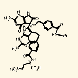 CCCNC(=O)c1ccc(CC[C@@]2(c3[nH]c4[nH]c(N)nc(=O)c4c3CCc3ccc(C(=O)N[C@@H](CCC(=O)O)C(=O)O)cc3)C(=O)Nc3[nH]c(N)nc(=O)c32)cc1